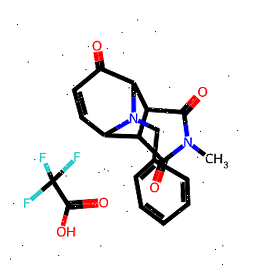 CN1C(=O)C2C(C1=O)C1C(=O)C=CC2N1Cc1ccccc1.O=C(O)C(F)(F)F